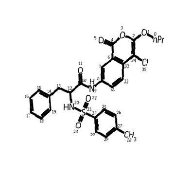 CCCOc1oc(=O)c2cc(NC(=O)C(Cc3ccccc3)NS(=O)(=O)c3ccc(C)cc3)ccc2c1Cl